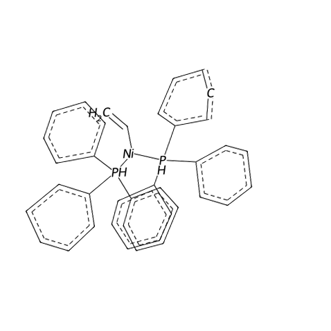 C=[CH][Ni]([PH](c1ccccc1)(c1ccccc1)c1ccccc1)[PH](c1ccccc1)(c1ccccc1)c1ccccc1